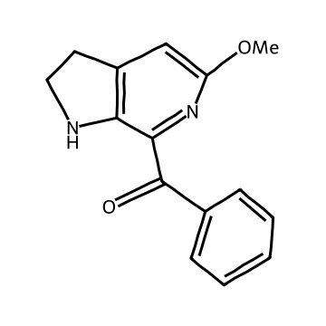 COc1cc2c(c(C(=O)c3ccccc3)n1)NCC2